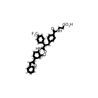 O=C(NCCS(=O)(=O)O)c1ccc(CC(C(=O)Nc2ccc(-c3cc4ccccc4o3)cc2Cl)c2ccc(C(F)(F)F)cc2)cc1